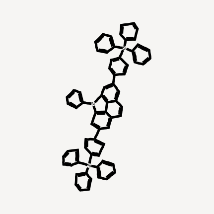 c1ccc(-n2c3cc(-c4ccc([Si](c5ccccc5)(c5ccccc5)c5ccccc5)cc4)cc4ccc5cc(-c6ccc([Si](c7ccccc7)(c7ccccc7)c7ccccc7)cc6)cc2c5c43)cc1